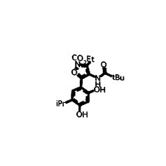 CCOC(=O)c1noc(-c2cc(C(C)C)c(O)cc2O)c1NC(=O)C(C)(C)C